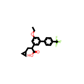 CCOc1cc(-c2ccc(C(F)(F)F)cc2)cc(C(CC2CC2)C(=O)O)c1